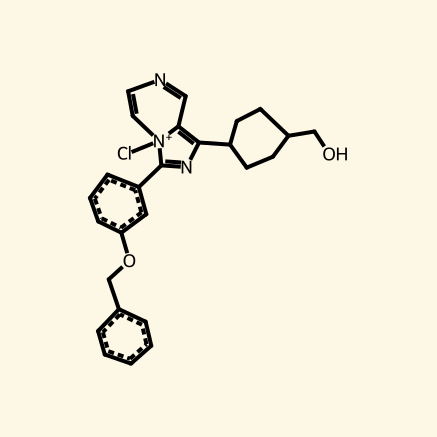 OCC1CCC(C2=C3C=NC=C[N+]3(Cl)C(c3cccc(OCc4ccccc4)c3)=N2)CC1